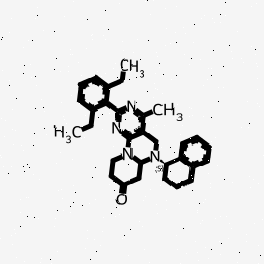 CCc1cccc(CC)c1-c1nc(C)c2c(n1)N1CCC(=O)CC1N([C@H]1CCCc3ccccc31)C2